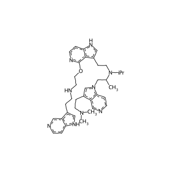 CC(C)N(CCc1c[nH]c2ccnc(OCCNCCc3c[nH]c4ccncc34)c12)C(C)Cn1cc(CCN(C)C)c2cnccc21